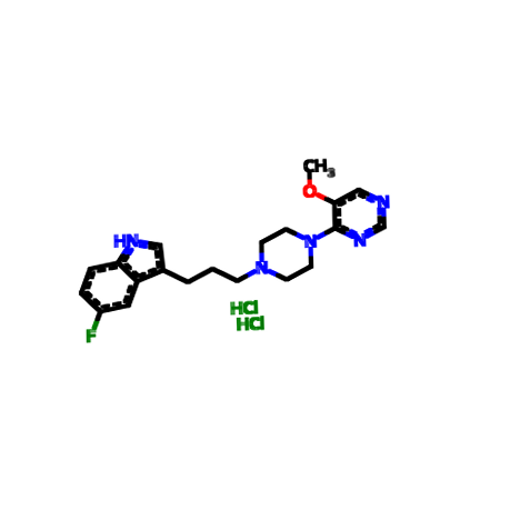 COc1cncnc1N1CCN(CCCc2c[nH]c3ccc(F)cc23)CC1.Cl.Cl